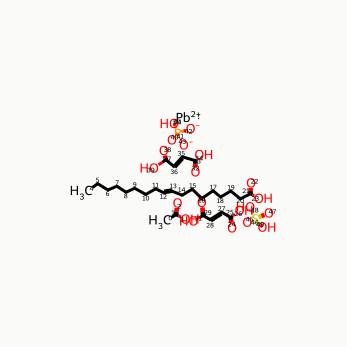 CC(=O)O.CCCCCCCCC=CCCCCCCCC(=O)O.O=C(O)C=CC(=O)O.O=C(O)C=CC(=O)O.O=P([O-])([O-])O.O=S(=O)(O)O.[Pb+2]